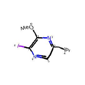 COc1nc(C(C)C)cnc1I